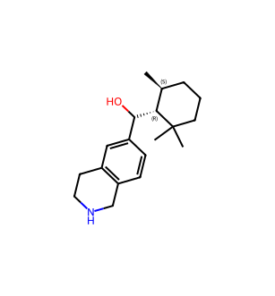 C[C@H]1CCCC(C)(C)[C@@H]1C(O)c1ccc2c(c1)CCNC2